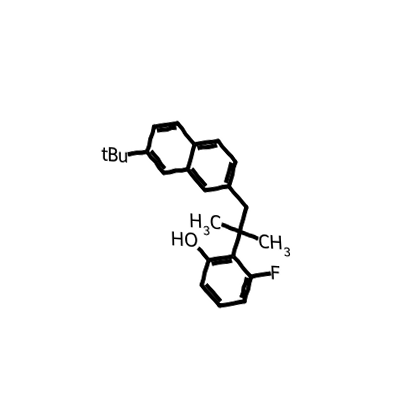 CC(C)(C)c1ccc2ccc(CC(C)(C)c3c(O)cccc3F)cc2c1